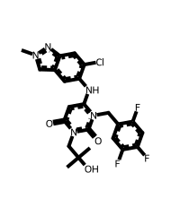 Cn1cc2cc(Nc3cc(=O)n(CC(C)(C)O)c(=O)n3Cc3cc(F)c(F)cc3F)c(Cl)cc2n1